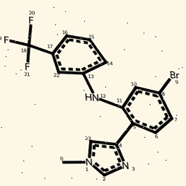 Cn1cnc(-c2ccc(Br)cc2Nc2cccc(C(F)(F)F)c2)c1